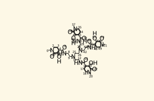 Cn1ccc(C(=O)NCCN(CCNC(=O)c2ccn(C)c(=O)c2O)CCN(CCNC(=O)c2ccn(C)c(=O)c2O)CCNC(O)c2ccn(C)c(=O)c2O)c(O)c1=O